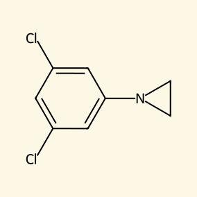 Clc1cc(Cl)cc(N2CC2)c1